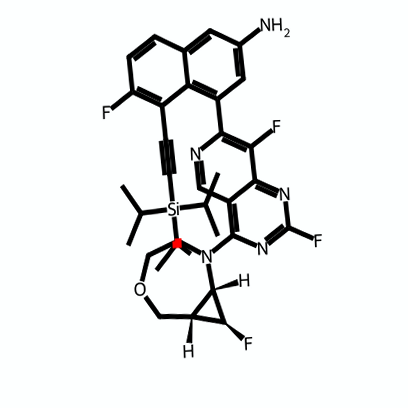 CC(C)[Si](C#Cc1c(F)ccc2cc(N)cc(-c3ncc4c(N5CCOC[C@H]6[C@H](F)[C@H]65)nc(F)nc4c3F)c12)(C(C)C)C(C)C